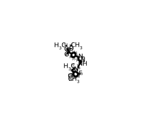 CCON(OCC)C(=O)c1ccc(-c2cc(NCCn3c(C)cc4c(OC)ccc(F)c43)ncn2)cc1